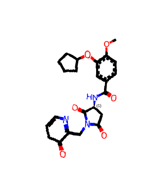 COc1ccc(C(=O)N[C@H]2CC(=O)N(CC3=NC=CCC3=O)C2=O)cc1OC1CCCC1